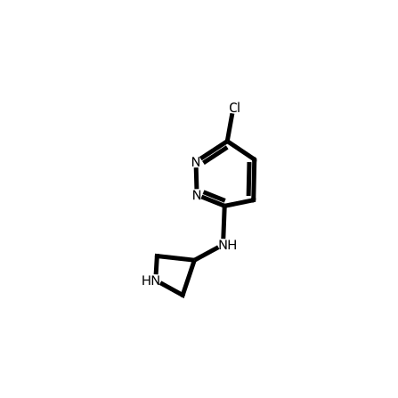 Clc1ccc(NC2CNC2)nn1